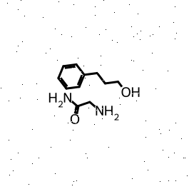 NCC(N)=O.OCCCc1ccccc1